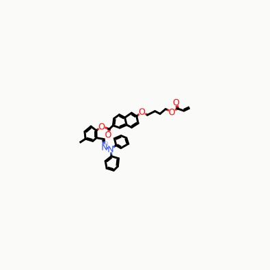 C=CC(=O)OCCCCOc1ccc2cc(C(=O)Oc3ccc(C)cc3/C=N/N(c3ccccc3)c3ccccc3)ccc2c1